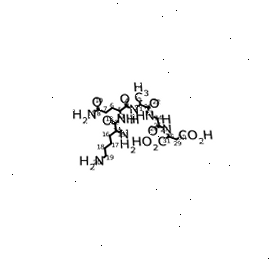 CC(NC(=O)C(CCC(N)=O)NC(=O)C(N)CCCCN)C(=O)NCC(=O)NC(CC(=O)O)C(=O)O